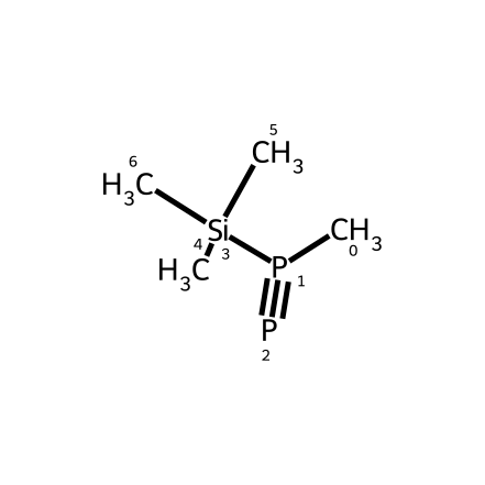 CP(#P)[Si](C)(C)C